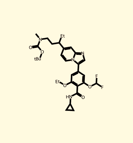 CCOc1cc(-c2cnc3cc(C(CC)CCN(C)C(=O)OC(C)(C)C)ccn23)cc(OC(F)F)c1C(=O)NC1CC1